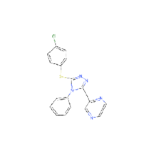 Clc1ccc(Sc2nnc(-c3cnccn3)n2-c2ccccc2)cc1